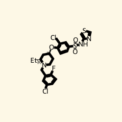 CC[C@@H]1C[C@@H](Oc2ccc(S(=O)(=O)Nc3cscn3)cc2Cl)CCN1Cc1cc(Cl)ccc1F